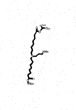 CCCCCCCCCOC(=O)CCCCCCCN(CCCCCCCC(=O)OC(CCCCCCCC)CCCCCCCC)CCCNC